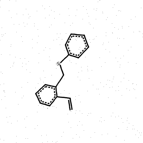 C=Cc1ccccc1C[Si]c1ccccc1